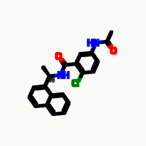 CC(=O)Nc1ccc(Cl)c(C(=O)N[C@H](C)c2cccc3ccccc23)c1